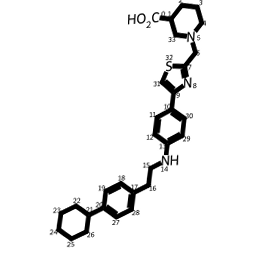 O=C(O)C1CCCN(Cc2nc(-c3ccc(NCCc4ccc(C5CCCCC5)cc4)cc3)cs2)C1